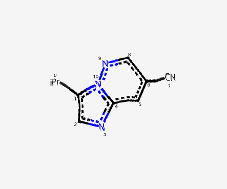 CC(C)c1cnc2cc(C#N)cnn12